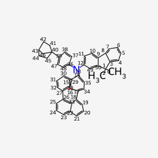 CC1(C)c2ccccc2-c2ccc(N(c3ccc(-c4cccc5cccc(-c6ccccc6)c45)cc3)c3ccc(C45CCC(CC4)C5)cc3)cc21